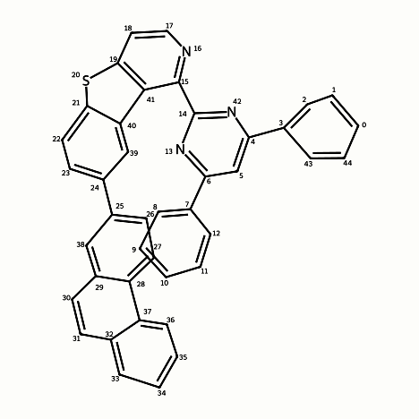 c1ccc(-c2cc(-c3ccccc3)nc(-c3nccc4sc5ccc(-c6ccc7c(ccc8ccccc87)c6)cc5c34)n2)cc1